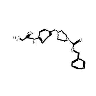 C=CC(=O)Nc1ccc(SN2CCN(C(=O)OCc3ccccc3)CC2)cc1